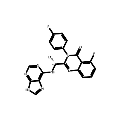 CC[C@@H](Nc1ncnc2[nH]cnc12)c1nc2cccc(F)c2c(=O)n1-c1ccc(F)cc1